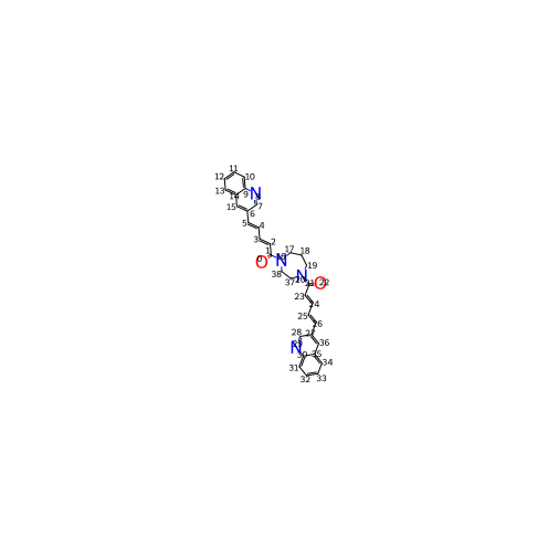 O=C(/C=C/C=C/c1cnc2ccccc2c1)N1CCCN(C(=O)/C=C/C=C/c2cnc3ccccc3c2)CC1